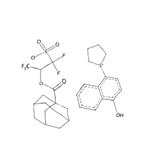 O=C(OC(C(F)(F)F)C(F)(F)S(=O)(=O)[O-])C12CC3CC(CC(C3)C1)C2.Oc1ccc([S+]2CCCC2)c2ccccc12